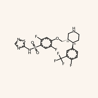 O=S(=O)(Nc1ncns1)c1cc(F)c(OC[C@@H]2CNCC[C@H]2c2ccc(F)c(C(F)(F)F)c2)cc1F